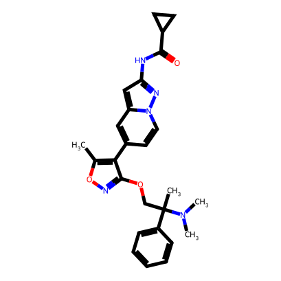 Cc1onc(OCC(C)(c2ccccc2)N(C)C)c1-c1ccn2nc(NC(=O)C3CC3)cc2c1